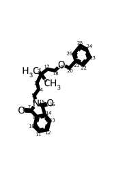 CC(C)(CCCN1C(=O)c2ccccc2C1=O)CCOCc1ccccc1